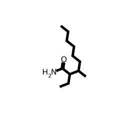 CCCCCCC(C)C(CC)C(N)=O